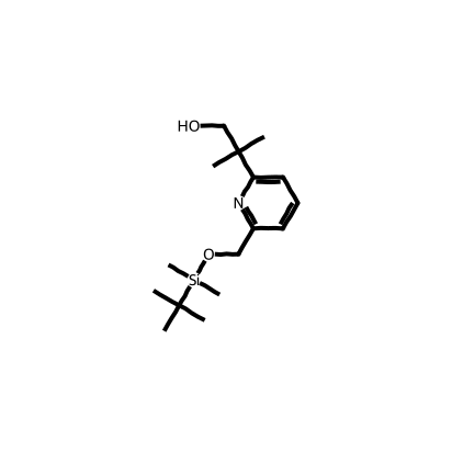 CC(C)(CO)c1cccc(CO[Si](C)(C)C(C)(C)C)n1